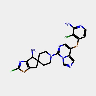 Nc1nccc(Sc2cnc(N3CCC4(CC3)Cc3sc(Cl)nc3[C@H]4N)n3cncc23)c1Cl